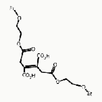 CCOCCOC(=O)C/C(C(=O)O)=C(/CC(=O)OCCOCC)C(=O)O